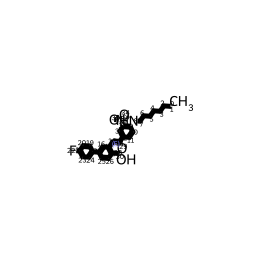 CCCCCCCCNc1ccc(/C=C/c2cc(-c3ccc(F)cc3)ccc2C(=O)O)cc1[N+](=O)[O-]